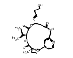 CC(C)[C@@H]1NC(=O)[C@]2(C)CSC(=N2)c2ccnc(c2)CNC(=O)C[C@@H](/C=C/CCO)OC1=O